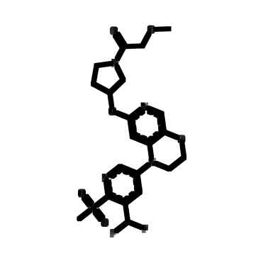 COCC(=O)N1CCC(Oc2cc3c(cn2)OCCN3c2cnc(S(C)(=O)=O)c(C(F)F)c2)C1